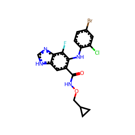 O=C(NOCC1CC1)c1cc2[nH]cnc2c(F)c1Nc1ccc(Br)cc1Cl